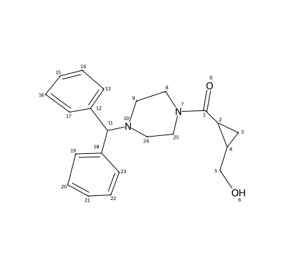 O=C(C1CC1CO)N1CCN(C(c2ccccc2)c2ccccc2)CC1